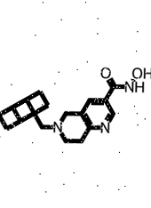 O=C(NO)c1cnc2c(c1)CN(CC13C4C5C6C4C1C6C53)CC2